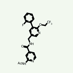 CC(=O)Nc1cc(C(=O)NCc2cnc(OCC(F)(F)F)c(-c3ccccc3F)c2)ccn1